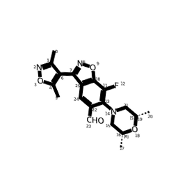 Cc1noc(C)c1-c1noc2c(F)c(N3C[C@@H](C)O[C@@H](C)C3)c(C=O)cc12